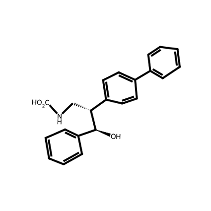 O=C(O)NC[C@H](c1ccc(-c2ccccc2)cc1)[C@@H](O)c1ccccc1